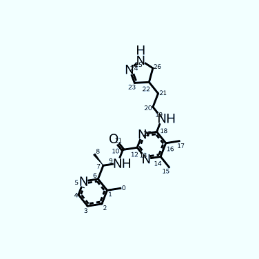 Cc1cccnc1[C@@H](C)NC(=O)c1nc(C)c(C)c(NCCC2C=NNC2)n1